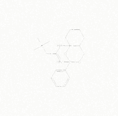 CC(C)(C)CC1=[NH+][B-]2(c3ccccc3)OCC3CCCCC3(N1)O2